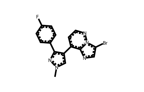 Cn1cc(-c2ccnn3c(Br)cnc23)c(-c2ccc(F)cc2)n1